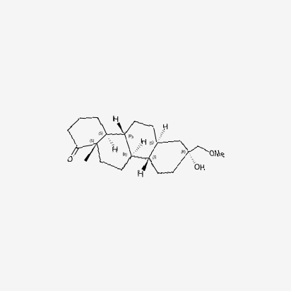 COC[C@@]1(O)CC[C@H]2[C@@H](CC[C@@H]3[C@@H]2CC[C@]2(C)C(=O)CCC[C@@H]32)C1